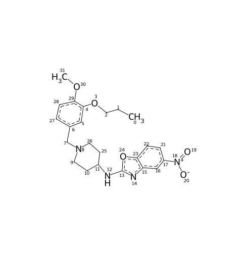 CCCOc1cc(CN2CCC(Nc3nc4cc([N+](=O)[O-])ccc4o3)CC2)ccc1OC